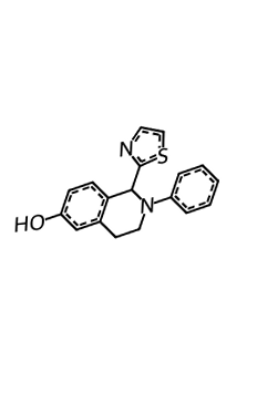 Oc1ccc2c(c1)CCN(c1ccccc1)C2c1nccs1